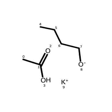 CC(=O)O.CCCC[O-].[K+]